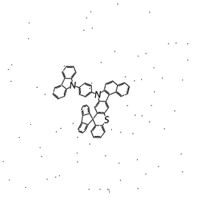 c1ccc2c(c1)Sc1cc3c4c5ccccc5ccc4n(-c4ccc(-n5c6ccccc6c6ccccc65)cc4)c3cc1C21c2ccccc2-c2ccccc21